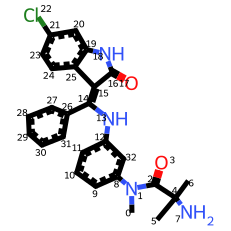 CN(C(=O)C(C)(C)N)c1cccc(N/C(=C2\C(=O)Nc3cc(Cl)ccc32)c2ccccc2)c1